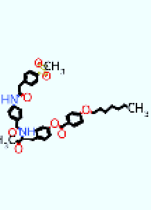 CCCCCCCOc1ccc(C(=O)Oc2ccc(C[C@H](NC(=O)c3ccc(NC(=O)Cc4ccc(S(C)(=O)=O)cc4)cc3)C(C)=O)cc2)cc1